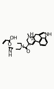 C1CN1.C=CC(=O)O.CCN(CC)C(=O)[C@@H]1C=C2c3cccc4[nH]cc(c34)C[C@H]2N(C)C1